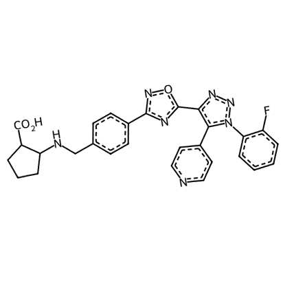 O=C(O)C1CCCC1NCc1ccc(-c2noc(-c3nnn(-c4ccccc4F)c3-c3ccncc3)n2)cc1